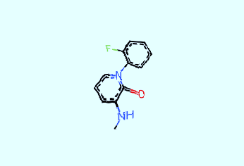 CNc1cccn(-c2ccccc2F)c1=O